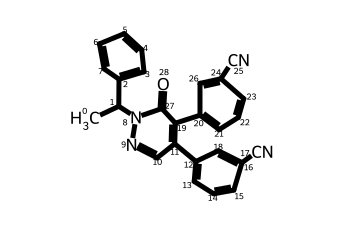 CC(c1ccccc1)n1ncc(-c2cccc(C#N)c2)c(-c2cccc(C#N)c2)c1=O